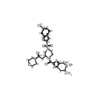 CC1Cc2nc(C(=O)N3CCN(S(=O)(=O)c4cc5ccc(Cl)cc5s4)CC3CC(=O)N3CCOCC3)sc2C[NH+]1[O-]